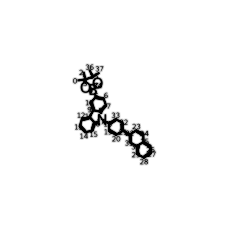 CC1(C)OB(c2ccc3c(c2)c2ccccc2n3-c2ccc(-c3ccc4ccccc4c3)cc2)OC1(C)C